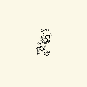 O=C(O)CCC(NC(=O)CNC(=O)c1cc(NC2=NCC(F)CN2)cc2[nH]ncc12)C1=CC(Br)C=CC(C(F)(F)F)=C1